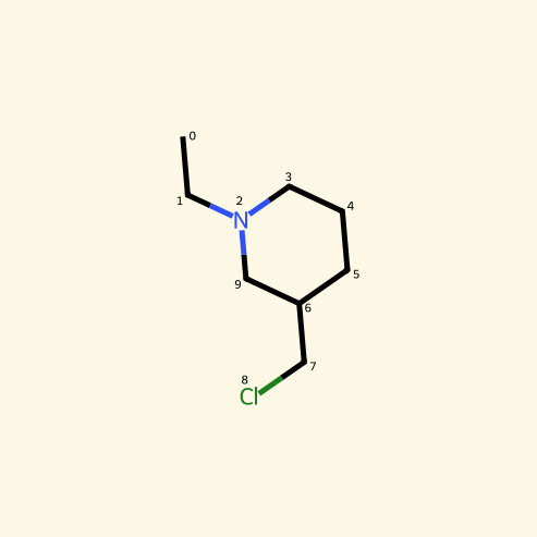 CCN1CCCC(CCl)C1